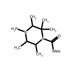 CNC(=O)N1C(C)C(C)N(P)C(C)C1(C)C